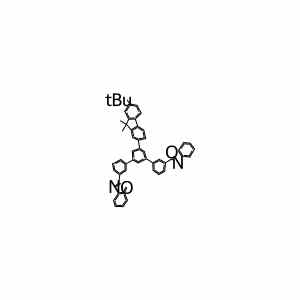 CC(C)(C)c1ccc2c(c1)C(C)(C)c1cc(-c3cc(-c4cccc(-c5nc6ccccc6o5)c4)cc(-c4cccc(-c5nc6ccccc6o5)c4)c3)ccc1-2